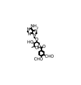 C[C@H](O)[C@H](O)C(COC(=O)c1ccc(C=O)c(C=O)c1)OCn1cnc2c(N)ncnc21